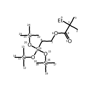 CCC(C)(C)C(=O)OCC[Si](O[Si](C)(C)C)(O[Si](C)(C)C)O[Si](C)(C)C